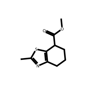 COC(=O)C1CCCc2nc(C)sc21